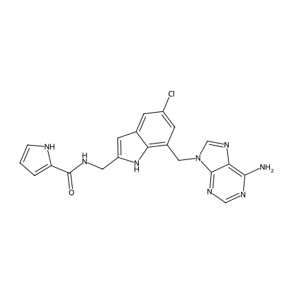 Nc1ncnc2c1ncn2Cc1cc(Cl)cc2cc(CNC(=O)c3ccc[nH]3)[nH]c12